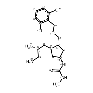 CNC(=O)N[C@@H]1C[C@@H](COCc2c(Cl)cccc2Cl)N(C[C@@H](C)CN)C1